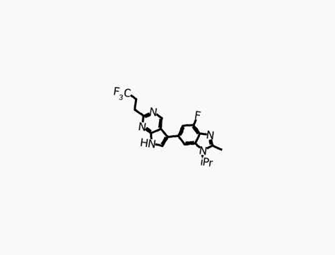 Cc1nc2c(F)cc(-c3c[nH]c4nc(CCC(F)(F)F)ncc34)cc2n1C(C)C